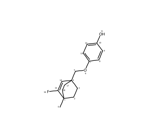 CC12CCC(COc3ccc(O)cc3)(C=C1F)CC2